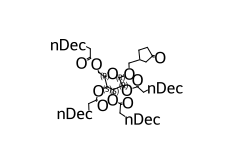 CCCCCCCCCCCC(=O)OC[C@H]1O[C@@H](OCC2CCC(=O)C2)[C@H](OC(=O)CCCCCCCCCCC)[C@@H](OC(=O)CCCCCCCCCCC)[C@H]1OC(=O)CCCCCCCCCCC